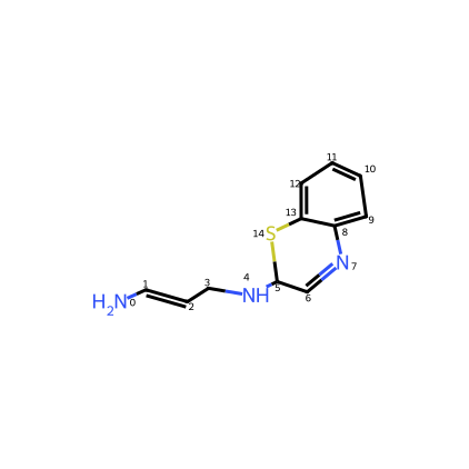 N/C=C/CNC1C=Nc2ccccc2S1